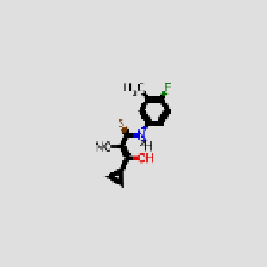 [2H]N(C(=S)C(C#N)=C(O)C1CC1)c1ccc(F)c(C)c1